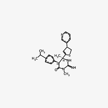 CC(C)c1ccc([C@@H]2C(=O)N(C)C(=N)N[C@]2(C)C2=CC(c3cccnc3)CS2)cc1